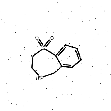 O=S1(=O)[C]CNCc2ccccc21